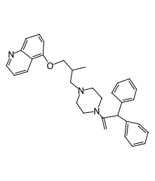 C=C(C(c1ccccc1)c1ccccc1)N1CCN(CC(C)COc2cccc3ncccc23)CC1